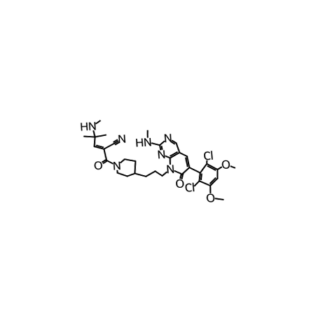 CNc1ncc2cc(-c3c(Cl)c(OC)cc(OC)c3Cl)c(=O)n(CCCC3CCN(C(=O)C(C#N)=CC(C)(C)NC)CC3)c2n1